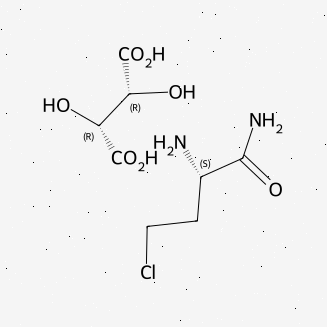 NC(=O)[C@@H](N)CCCl.O=C(O)[C@H](O)[C@@H](O)C(=O)O